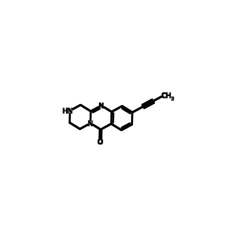 CC#Cc1ccc2c(=O)n3c(nc2c1)CNCC3